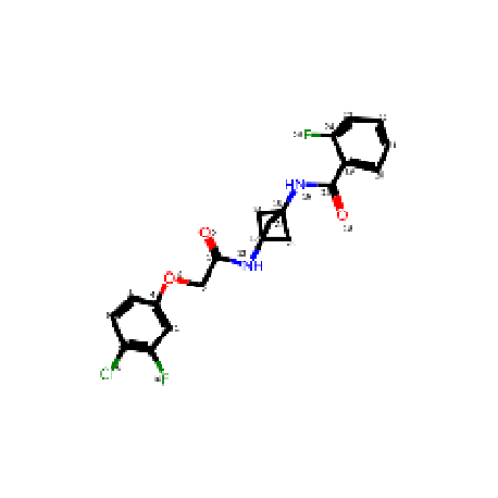 O=C(COc1ccc(Cl)c(F)c1)NC12CC(NC(=O)c3ccccc3F)(C1)C2